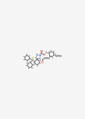 COC(=O)[C@@H]1C[C@H](SC(c2ccccc2)(c2ccccc2)c2ccccc2)CN1C(=O)OCc1ccc(OC)cc1